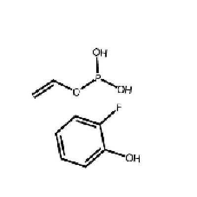 C=COP(O)O.Oc1ccccc1F